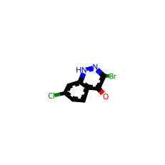 O=c1c(Br)n[nH]c2cc(Cl)ccc12